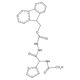 O=C(NNC(=O)C(NC(=O)C(=O)O)c1cccs1)OCC1c2ccccc2-c2ccccc21